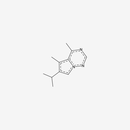 Cc1ncnn2cc(C(C)C)c(C)c12